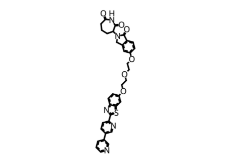 O=C1CCCC(N2Cc3cc(OCCOCCOc4ccc5nc(-c6ccc(-c7cccnc7)cn6)sc5c4)ccc3C2=O)C(=O)N1